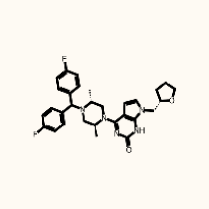 C[C@@H]1CN(c2nc(=O)[nH]c3c2ccn3C[C@@H]2CCCO2)[C@@H](C)CN1C(c1ccc(F)cc1)c1ccc(F)cc1